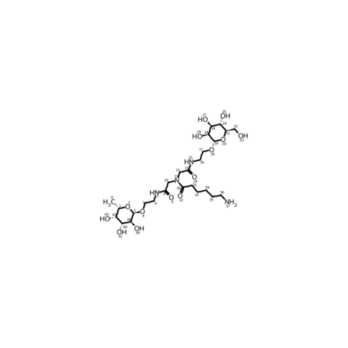 C[C@@H]1O[C@@H](OCCNC(=O)CN(CC(=O)NCCO[C@H]2O[C@H](CO)[C@@H](O)[C@H](O)[C@@H]2O)C(=O)CCCCCN)[C@@H](O)[C@H](O)[C@@H]1O